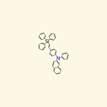 C(=C\[Si](c1ccccc1)(c1ccccc1)c1ccccc1)/c1ccc(N(c2ccccc2)c2ccc3ccccc3c2)cc1